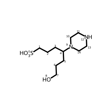 O=S(=O)(O)CCCC(CCCO)N1CCNCC1